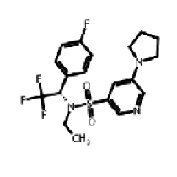 CCN([C@@H](c1ccc(F)cc1)C(F)(F)F)S(=O)(=O)c1cncc(N2CCCC2)c1